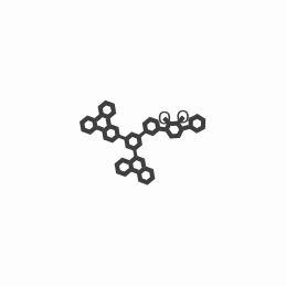 c1ccc2c(c1)cc(-c1cc(-c3ccc4oc5c(ccc6c7ccccc7oc65)c4c3)cc(-c3ccc4c5ccccc5c5ccccc5c4c3)c1)c1ccccc12